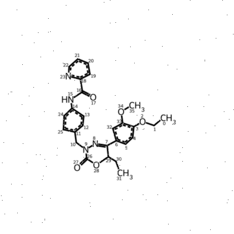 CCOc1ccc(C2=NN(Cc3ccc(NC(=O)c4ccccn4)cc3)C(=O)OC2CC)cc1OC